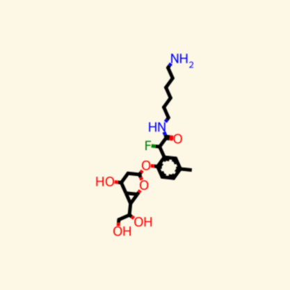 Cc1ccc(OC2CC(O)C3C(O2)C3C(O)CO)c(C(F)C(=O)NCCCCCCN)c1